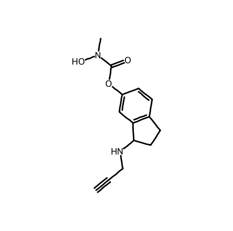 C#CCNC1CCc2ccc(OC(=O)N(C)O)cc21